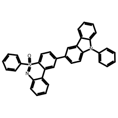 O=S1(c2ccccc2)=Nc2ccccc2-c2cc(-c3ccc4c(c3)c3ccccc3n4-c3ccccc3)ccc21